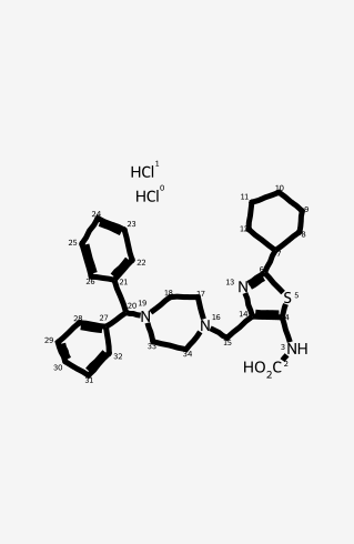 Cl.Cl.O=C(O)Nc1sc(C2CCCCC2)nc1CN1CCN(C(c2ccccc2)c2ccccc2)CC1